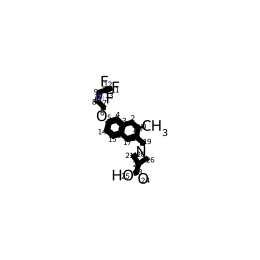 C[C@@H]1Cc2cc(OC/C=C\C(F)(F)F)ccc2C=C1CN1CC(C(=O)O)C1